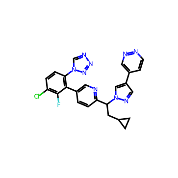 Fc1c(Cl)ccc(-n2cnnn2)c1-c1ccc(C(CC2CC2)n2cc(-c3ccnnc3)cn2)nc1